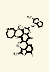 C[C@H]1CN2CCC[C@@]2(COc2nc3c4c(c(Cl)c(-c5ccc(F)c6sc(N)c(C#N)c56)c(F)c4n2)OC2CCCNCC2N3C)C1